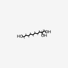 OCCCCCCCCC(O)CO